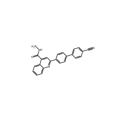 N#Cc1ccc(-c2ccc(-c3cc(C(=O)NN)c4ccccc4n3)cc2)cc1